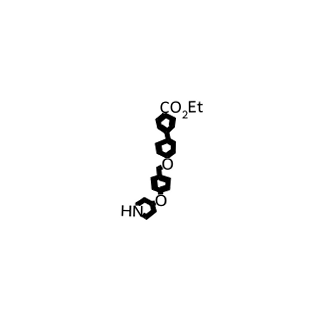 CCOC(=O)c1ccc(-c2ccc(OCc3ccc(OC4CCNCC4)cc3)cc2)cc1